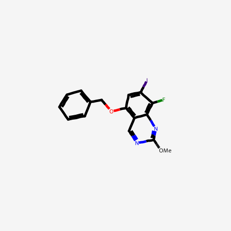 COc1ncc2c(OCc3ccccc3)cc(I)c(F)c2n1